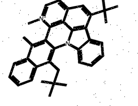 Cc1c2ccccc2c(CC(C)(C)C)c2c1c1c3c(cc[n+]1C)cc(C(C)(C)C)c1c4ccccc4n2c13